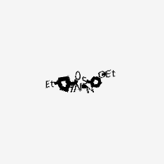 CCOc1ccc2nc(NC(=O)c3ccc(CC)cc3)sc2c1